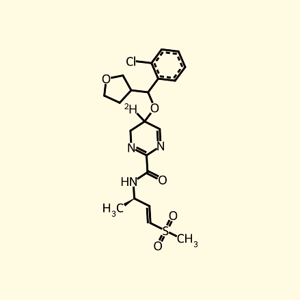 [2H]C1(OC(c2ccccc2Cl)C2CCOC2)C=NC(C(=O)N[C@H](C)/C=C/S(C)(=O)=O)=NC1